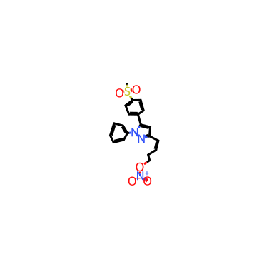 CS(=O)(=O)c1ccc(-c2cc(/C=C\CCO[N+](=O)[O-])nn2-c2ccccc2)cc1